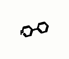 c1ccc(-c2ccpcc2)cc1